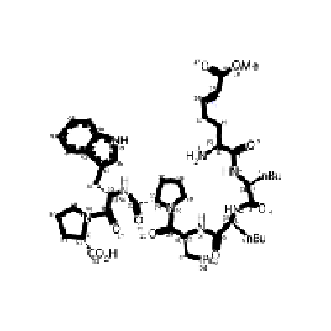 CCCC[C@H](NC(=O)[C@H](CCCC)NC(=O)[C@@H](N)CC/C=C/C(=O)OC)C(=O)N[C@@H](CC(C)C)C(=O)N1CCC[C@H]1C(=O)N[C@@H](Cc1c[nH]c2ccccc12)C(=O)N1CCC[C@H]1C(=O)O